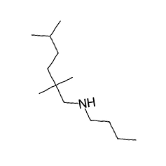 CCCCNCC(C)(C)CCC(C)C